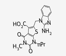 CCCn1c(=O)n(C)c(=O)c2c(C(=O)O)c(Cn3c(N)nc4ccccc43)sc21